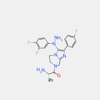 CC(C)[C@H](N)C(=O)N1CCn2c(nc(-c3ccc(F)cc3)c2N(N)c2ccc(F)c(F)c2)C1